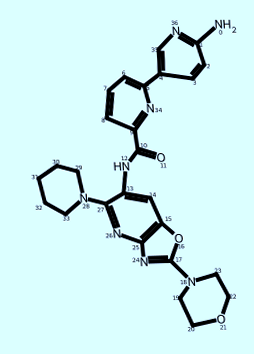 Nc1ccc(-c2cccc(C(=O)Nc3cc4oc(N5CCOCC5)nc4nc3N3CCCCC3)n2)cn1